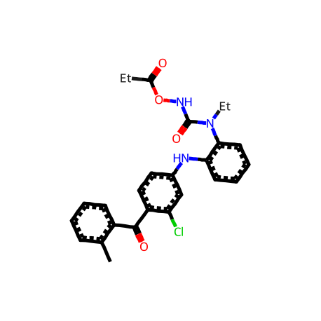 CCC(=O)ONC(=O)N(CC)c1ccccc1Nc1ccc(C(=O)c2ccccc2C)c(Cl)c1